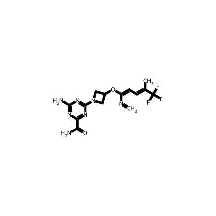 C=N/C(=C\C=C(/C)C(F)(F)F)OC1CN(c2nc(N)nc(C(N)=O)n2)C1